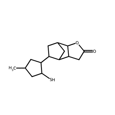 CC1CC(S)C(C2CC3CC2C2CC(=O)OC32)C1